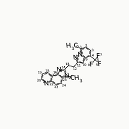 Cc1ccc(C(F)(F)F)c2cc(CCc3nc4c5cccnc5ccc4n3C)nn12